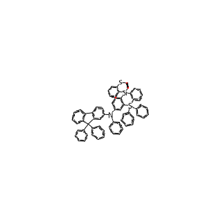 c1ccc(N(c2ccc3c(c2)C(c2ccccc2)(c2ccccc2)c2ccccc2-3)c2ccc3c(c2)S(c2ccccc2)(c2ccccc2)c2ccccc2[Si]32c3ccccc3Sc3ccccc32)cc1